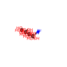 [N-]=[N+]=NCCO[C@@H]1OC(CO)[C@@H](O)C(O[C@H]2OC[C@@H](O)C(O[C@@H]3OC(CO)[C@@H](O)C(OC4OC[C@@H](O)C(O)C4O)C3O)C2O)C1O